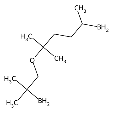 BC(C)CCC(C)(C)OCC(B)(C)C